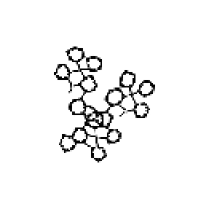 CN1c2ccccc2C(c2ccccc2)(c2ccccc2)c2cccc(-c3cccc4c(-c5cc6ccccc6c6c5C5(c7ccccc7-c7ccccc75)c5ccccc5-6)c5cccc(-c6cccc7c6N(C)c6ccccc6C7(c6ccccc6)c6ccccc6)c5cc34)c21